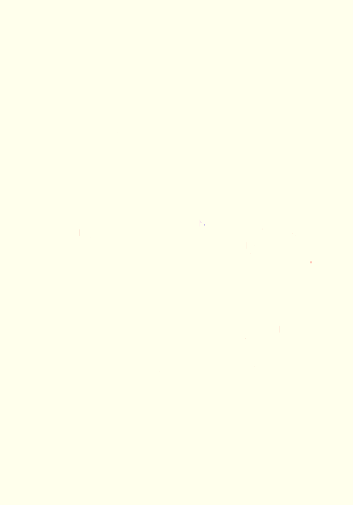 C=C(C(=O)O)c1ccccc1N(c1ccc2c(c1)-c1ccccc1C2(C)C)c1ccc2c(c1)-c1ccccc1C2(C)C